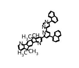 CC1(C)c2cc3c(cc2-c2ncccc21)C(C)(C)c1cc(-c2cc(-c4cccc5ccccc45)cc(-c4cc(-c5cccc6ccccc56)ncn4)n2)cnc1-3